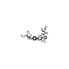 CC(C)CC(=O)Nc1ccc(C(=O)N[C@@H](C)C(=O)N2CCC[C@H]2C(=O)N[C@H](C=O)CC=O)cc1